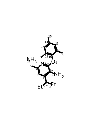 CCC(CC)c1cc(C)nc(Oc2c(C)cc(C)cc2C)c1N.N